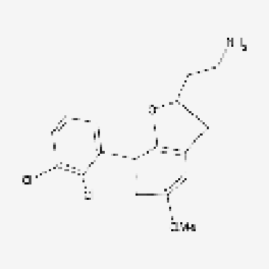 COc1cc2c(c(-c3cccc(Cl)c3Cl)c1)OC(CCN)C2